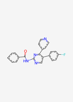 O=C(Nc1ncc(-c2ccc(F)cc2)c(-c2ccncc2)n1)c1ccccc1